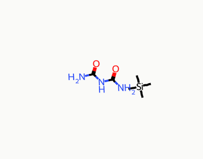 C[Si](C)(C)C.NC(=O)NC(N)=O